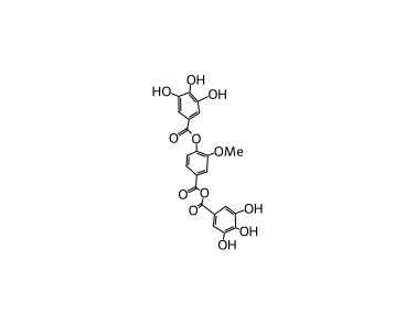 COc1cc(C(=O)OC(=O)c2cc(O)c(O)c(O)c2)ccc1OC(=O)c1cc(O)c(O)c(O)c1